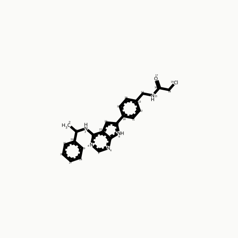 CC(Nc1ncnc2[nH]c(-c3ccc(CNC(=O)CCl)cc3)cc12)c1ccccc1